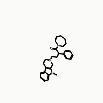 Cn1c2c(c3ccccc31)CCN(CCC(C(=O)N1CCCCCC1)c1ccccc1)C2